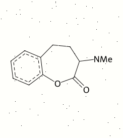 CNC1CCc2ccccc2OC1=O